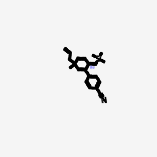 C=CCC1(C)C=C/C(=C\[Si](C)(C)C)C(c2ccc(C#N)cc2)=C1